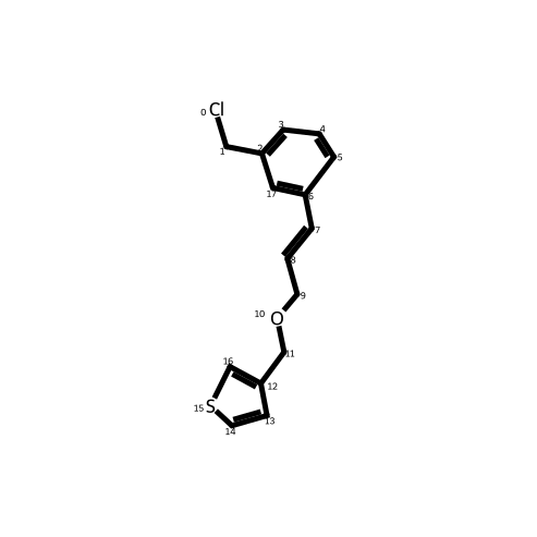 ClCc1cccc(C=CCOCc2ccsc2)c1